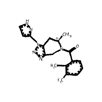 Cc1c(C(=O)N2Cc3nnn(-c4cc[nH]n4)c3C[C@H]2C)cccc1C(F)(F)F